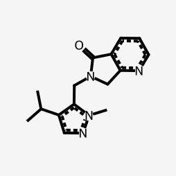 CC(C)c1cnn(C)c1CN1Cc2ncccc2C1=O